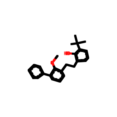 COc1c(CCc2cccc(C(C)(C)C)c2O)cccc1-c1ccccc1